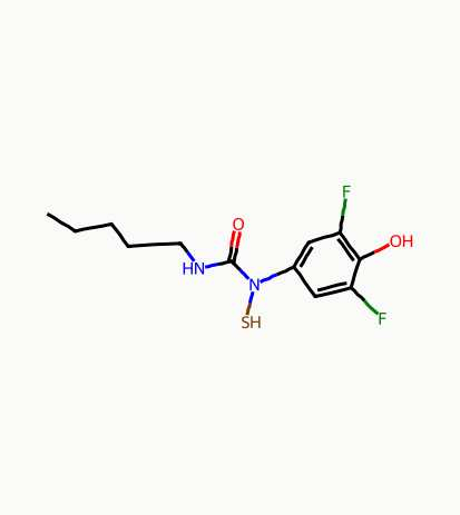 CCCCCNC(=O)N(S)c1cc(F)c(O)c(F)c1